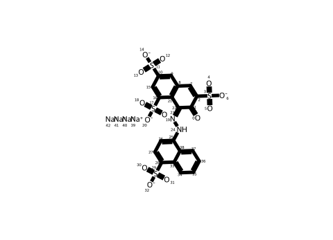 O=C1C(S(=O)(=O)[O-])=Cc2cc(S(=O)(=O)[O-])cc(S(=O)(=O)[O-])c2/C1=N/Nc1ccc(S(=O)(=O)[O-])c2ccccc12.[Na+].[Na+].[Na+].[Na+]